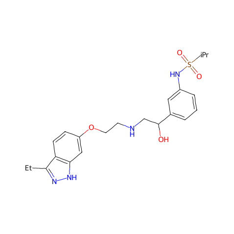 CCc1n[nH]c2cc(OCCNCC(O)c3cccc(NS(=O)(=O)C(C)C)c3)ccc12